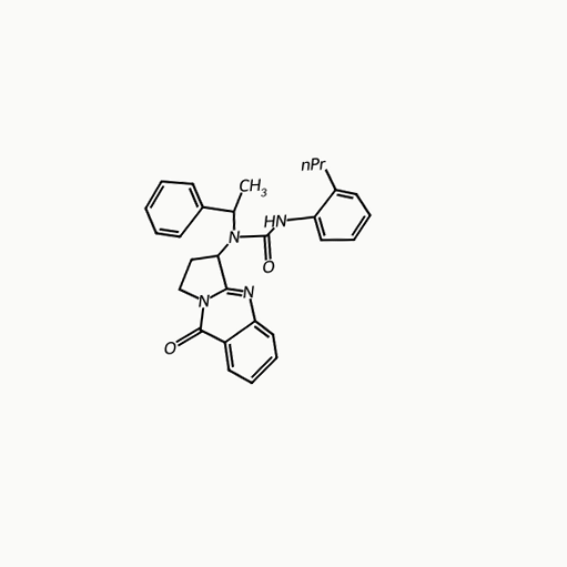 CCCc1ccccc1NC(=O)N(C(C)c1ccccc1)C1CCn2c1nc1ccccc1c2=O